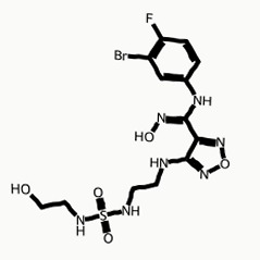 O=S(=O)(NCCO)NCCNc1nonc1C(=NO)Nc1ccc(F)c(Br)c1